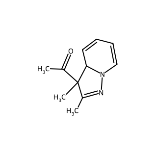 CC(=O)C1(C)C(C)=NN2C=CC=CC21